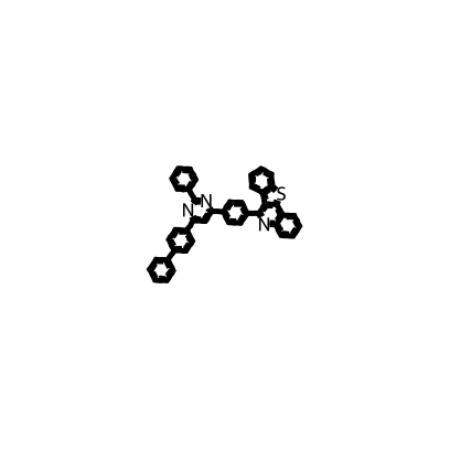 c1ccc(-c2ccc(-c3cc(-c4ccc(-c5nc6ccccc6c6sc7ccccc7c56)cc4)nc(-c4ccccc4)n3)cc2)cc1